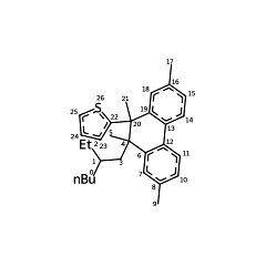 CCCCC(CC)CC1(C)c2cc(C)ccc2-c2ccc(C)cc2C1(C)c1cccs1